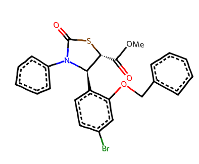 COC(=O)[C@H]1SC(=O)N(c2ccccc2)[C@@H]1c1ccc(Br)cc1OCc1ccccc1